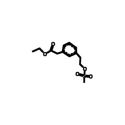 CCOC(=O)Cc1cccc(CCOS(C)(=O)=O)c1